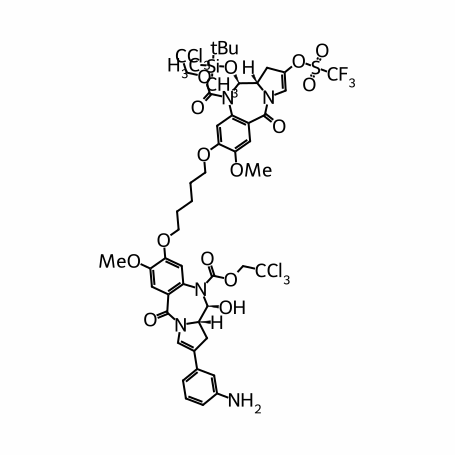 COc1cc2c(cc1OCCCCCOc1cc3c(cc1OC)C(=O)N1C=C(OS(=O)(=O)C(F)(F)F)C[C@H]1[C@H](O[Si](C)(C)C(C)(C)C)N3C(=O)OCC(Cl)(Cl)Cl)N(C(=O)OCC(Cl)(Cl)Cl)[C@@H](O)[C@@H]1CC(c3cccc(N)c3)=CN1C2=O